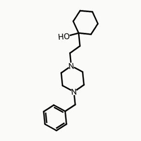 OC1(CCN2CCN(Cc3ccccc3)CC2)CCCCC1